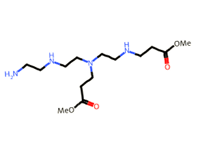 COC(=O)CCNCCN(CCNCCN)CCC(=O)OC